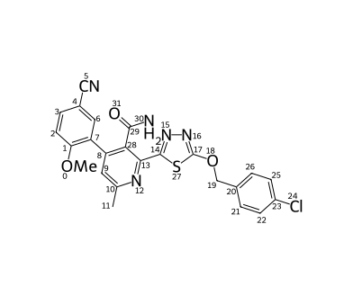 COc1ccc(C#N)cc1-c1cc(C)nc(-c2nnc(OCc3ccc(Cl)cc3)s2)c1C(N)=O